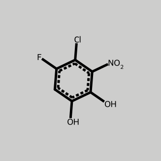 O=[N+]([O-])c1c(O)c(O)cc(F)c1Cl